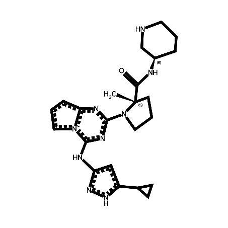 C[C@@]1(C(=O)N[C@@H]2CCCNC2)CCCN1c1nc(Nc2cc(C3CC3)[nH]n2)n2cccc2n1